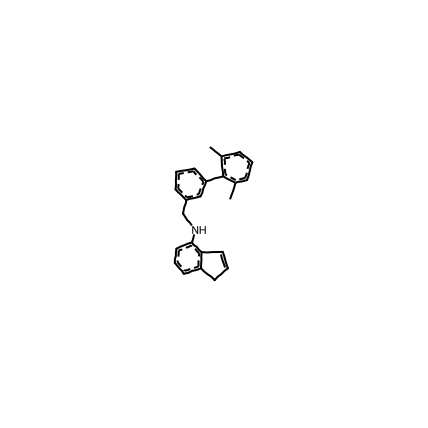 Cc1cccc(C)c1-c1cccc(CNc2cccc3c2C=CC3)c1